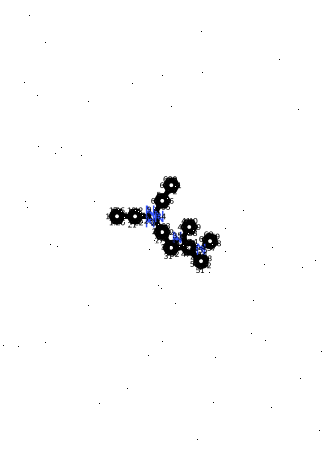 c1ccc(-c2ccc(-c3nc(-c4ccc(-c5ccccc5)cc4)nc(-c4ccc(-c5cccc6c5nc(-c5ccccc5)c5cc7c(cc56)c5ccccc5n7-c5ccccc5)cc4)n3)cc2)cc1